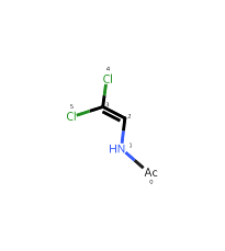 CC(=O)NC=C(Cl)Cl